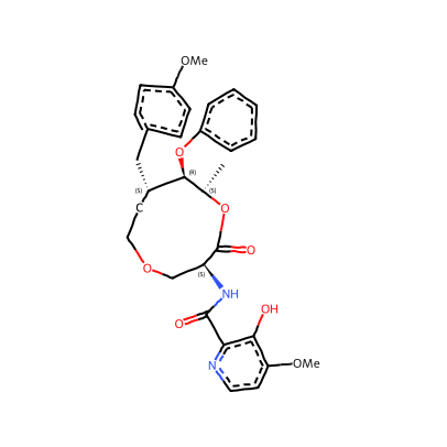 COc1ccc(C[C@H]2CCOC[C@H](NC(=O)c3nccc(OC)c3O)C(=O)O[C@@H](C)[C@@H]2Oc2ccccc2)cc1